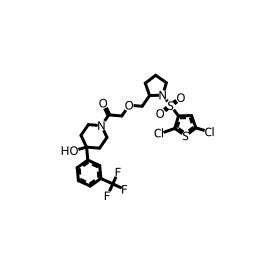 O=C(COCC1CCCN1S(=O)(=O)c1cc(Cl)sc1Cl)N1CCC(O)(c2cccc(C(F)(F)F)c2)CC1